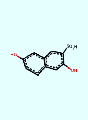 O=S(=O)(O)c1cc2cc(O)ccc2cc1O